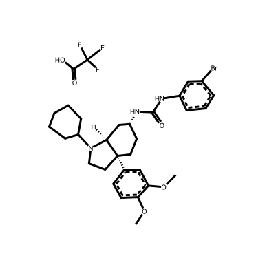 COc1ccc([C@@]23CC[C@@H](NC(=O)Nc4cccc(Br)c4)C[C@@H]2N(C2CCCCC2)CC3)cc1OC.O=C(O)C(F)(F)F